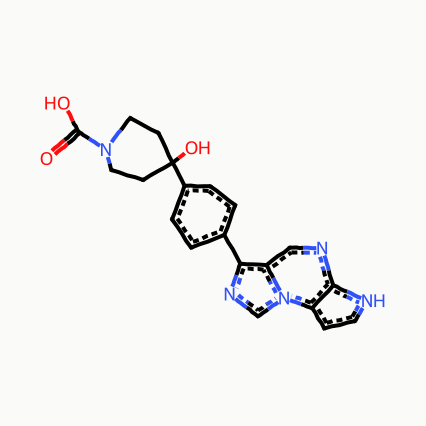 O=C(O)N1CCC(O)(c2ccc(-c3ncn4c3cnc3[nH]ccc34)cc2)CC1